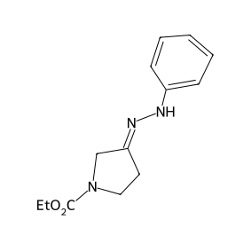 CCOC(=O)N1CCC(=NNc2ccccc2)C1